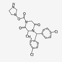 CC1C(=O)N(C(=O)ON2CCNC2)CC(=O)N1C(c1ccc(Cl)cc1)c1ccc(Cl)cc1